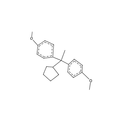 COc1ccc(C(C)(c2ccc(OC)cc2)C2CCCC2)cc1